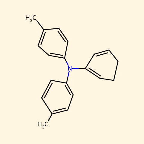 Cc1ccc(N(C2=CCCC=C2)c2ccc(C)cc2)cc1